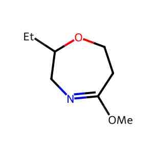 CCC1CN=C(OC)CCO1